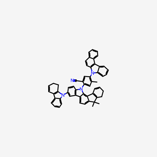 Cc1cc(-n2c3ccc(-n4c5c(c6ccccc64)C=CCC5)cc3c3ccc4c(c32)C2=C(CCC=C2)C4(C)C)c(C#N)cc1-n1c2ccccc2c2c3ccccc3ccc21